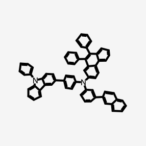 c1ccc(-c2c(-c3ccccc3)c3cc(N(c4ccc(-c5ccc6c(c5)c5ccccc5n6-c5ccccc5)cc4)c4cccc(-c5ccc6ccccc6c5)c4)ccc3c3ccccc23)cc1